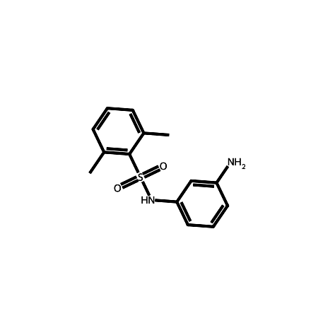 Cc1cccc(C)c1S(=O)(=O)Nc1cccc(N)c1